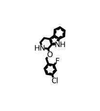 Fc1cc(Cl)ccc1COC1NCCc2c1[nH]c1ccccc21